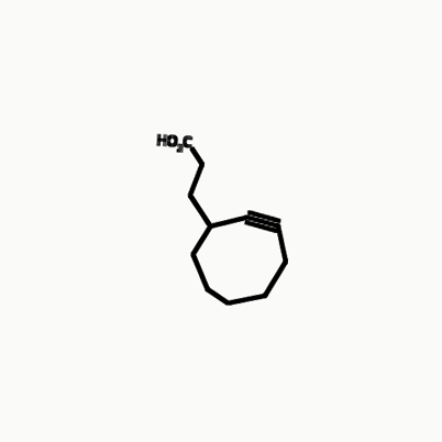 O=C(O)CCC1C#CCCCCC1